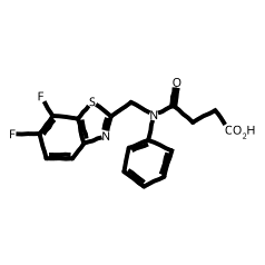 O=C(O)CCC(=O)N(Cc1nc2ccc(F)c(F)c2s1)c1ccccc1